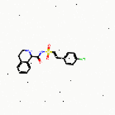 O=C(NS(=O)(=O)C=Cc1ccc(Cl)cc1)C1NCCc2ccccc21